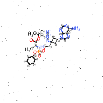 CC(C)OC(=O)[C@H](C)NP(=O)(OCC[C@]1(N=[N+]=[N-])C[C@@H](n2cnc3c(N)ncnc32)C1)Oc1ccccc1